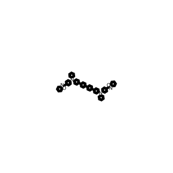 c1ccc(N(c2ccc(-c3ccc(-c4ccc(-c5ccc(N(c6ccccc6)c6ccc(-c7nc8ccccc8o7)cc6)cc5)cc4)cc3)cc2)c2ccc(-c3nc4ccccc4o3)cc2)cc1